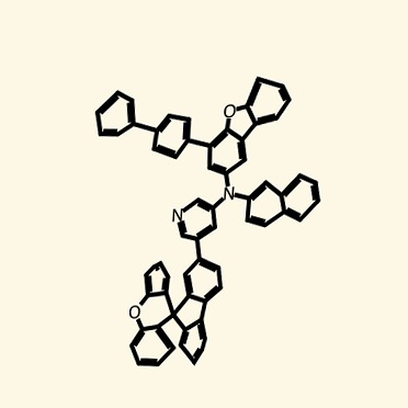 c1ccc(-c2ccc(-c3cc(N(c4cncc(-c5ccc6c(c5)C5(c7ccccc7Oc7ccccc75)c5ccccc5-6)c4)c4ccc5ccccc5c4)cc4c3oc3ccccc34)cc2)cc1